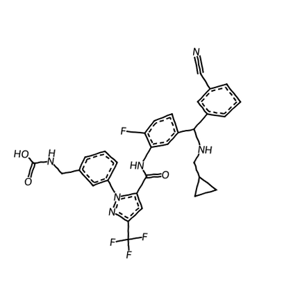 N#Cc1cccc(C(NCC2CC2)c2ccc(F)c(NC(=O)c3cc(C(F)(F)F)nn3-c3cccc(CNC(=O)O)c3)c2)c1